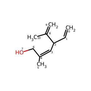 C=CC(C=C(C)CO)C(=C)C